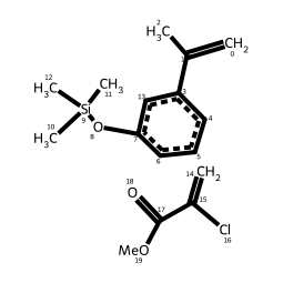 C=C(C)c1cccc(O[Si](C)(C)C)c1.C=C(Cl)C(=O)OC